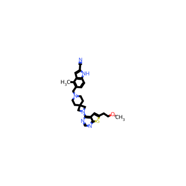 COCCc1cc2c(N3CC4(CCN(Cc5ccc6[nH]c(C#N)cc6c5C)CC4)C3)ncnc2s1